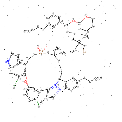 CC1(C)CCCC(c2cccc(CCC(=O)O)c2)n2ncc(C#N)c2-c2cc(ccc2F)Oc2c(F)cc3[nH]ccc3c2CCS(=O)(=O)C1.CCOC(=O)CCc1cccc(C(CCCC(C)(C)CS)OC2CCCCO2)c1